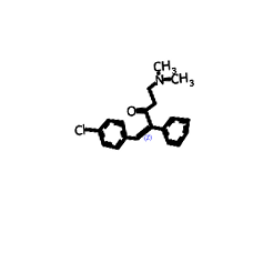 CN(C)CCC(=O)/C(=C\c1ccc(Cl)cc1)c1ccccc1